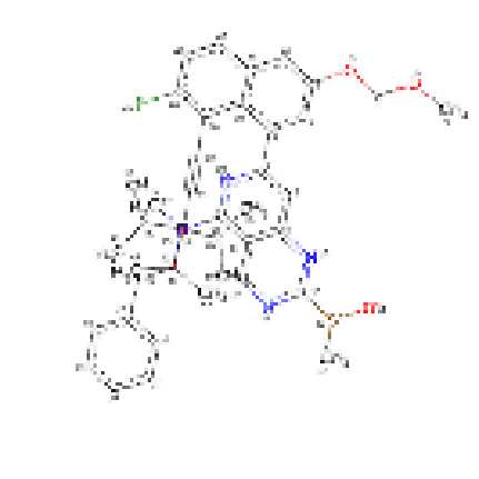 COCOc1cc(-c2cc3nc([S+](C)[O-])ncc3c(N(C)CCc3ccccc3)n2)c2c(C#C[Si](C(C)C)(C(C)C)C(C)C)c(F)ccc2c1